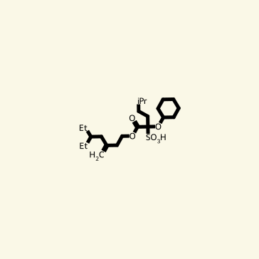 C=C(CCOC(=O)C(CCC(C)C)(OC1CCCCC1)S(=O)(=O)O)CC(CC)CC